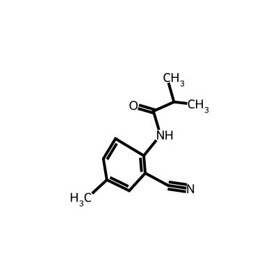 Cc1ccc(NC(=O)C(C)C)c(C#N)c1